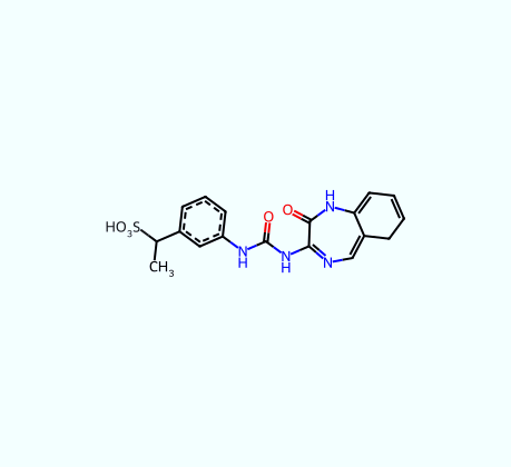 CC(c1cccc(NC(=O)NC2=NC=C3CC=CC=C3NC2=O)c1)S(=O)(=O)O